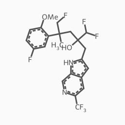 COc1ccc(F)cc1C(C)(CF)CC(O)(Cc1cc2cc(C(F)(F)F)ncc2[nH]1)C(F)F